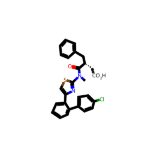 CN(C(=O)[C@@H](CC(=O)O)Cc1ccccc1)c1nc(-c2ccccc2-c2ccc(Cl)cc2)cs1